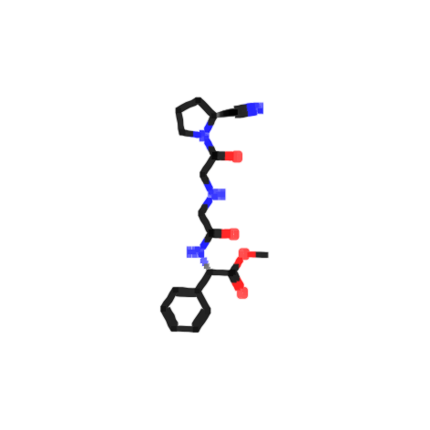 COC(=O)[C@@H](NC(=O)CNCC(=O)N1CCC[C@H]1C#N)c1ccccc1